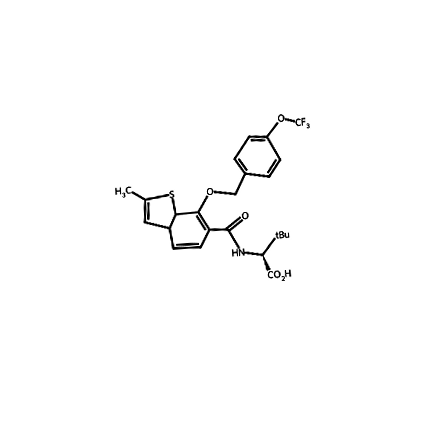 CC1=CC2C=CC(C(=O)N[C@H](C(=O)O)C(C)(C)C)=C(OCc3ccc(OC(F)(F)F)cc3)C2S1